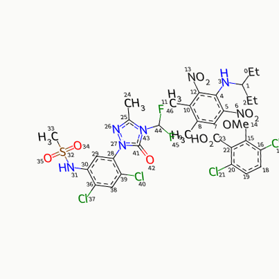 CCC(CC)Nc1c([N+](=O)[O-])cc(C)c(C)c1[N+](=O)[O-].COc1c(Cl)ccc(Cl)c1C(=O)O.Cc1nn(-c2cc(NS(C)(=O)=O)c(Cl)cc2Cl)c(=O)n1C(F)F